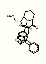 COC[C@H]1CN(Cc2cnnn2-c2ccccc2)C(=O)C2CCCC1N2S(=O)(=O)c1cccc(F)c1